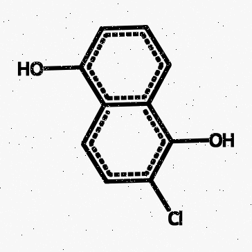 Oc1cccc2c(O)c(Cl)ccc12